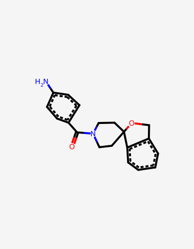 Nc1ccc(C(=O)N2CCC3(CC2)OCc2ccccc23)cc1